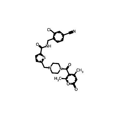 Cc1cc(=O)oc(C)c1C(=O)N1CCN(Cc2ccc(C(=O)NCc3ccc(C#N)cc3Cl)s2)CC1